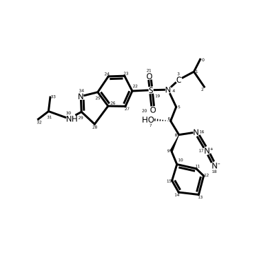 CC(C)CN(C[C@@H](O)[C@H](Cc1ccccc1)N=[N+]=[N-])S(=O)(=O)c1ccc2c(c1)CC(NC(C)C)=N2